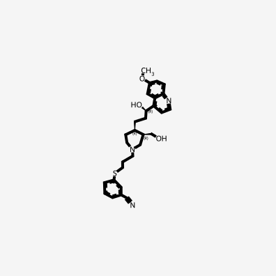 COc1ccc2nccc([C@H](O)CC[C@@H]3CCN(CCCSc4cccc(C#N)c4)C[C@@H]3CO)c2c1